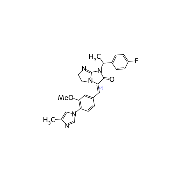 COc1cc(/C=c2/c(=O)n(C(C)c3ccc(F)cc3)c3n2CCN=3)ccc1-n1cnc(C)c1